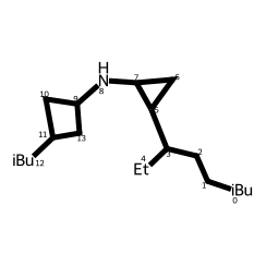 CCC(C)CCC(CC)C1CC1NC1CC(C(C)CC)C1